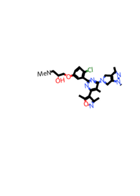 CNC[C@@H](O)COc1ccc(Cl)c(-c2nc(-c3c(C)noc3C)c(C)c(N3Cc4c(C)nn(C)c4C3)n2)c1